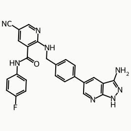 N#Cc1cnc(NCc2ccc(-c3cnc4[nH]nc(N)c4c3)cc2)c(C(=O)Nc2ccc(F)cc2)c1